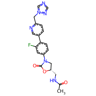 CC(=O)NC[C@H]1CN(c2ccc(-c3ccc(Cn4cncn4)nc3)c(F)c2)C(=O)O1